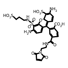 Nc1ccc2c(-c3cc(C(=O)NCCN4C(=O)C=CC4=O)ccc3C(=O)O)c3ccc(N)c(S(=O)(=O)NCCCS(=O)(=O)O)c3[o+]c2c1S(=O)(=O)O